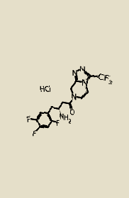 Cl.N[C@@H](CC(=O)N1CCn2c(nnc2C(F)(F)F)C1)Cc1cc(F)c(F)cc1F